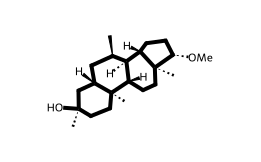 CO[C@H]1CC[C@H]2[C@@H]3[C@H](C)C[C@H]4C[C@](C)(O)CC[C@]4(C)[C@H]3CC[C@]12C